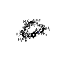 CNC(C)(C)CC(C)(C)NC(=O)BC(=O)NC(C)(C)CC(C)(C)NC(=O)Oc1ccc(/C=N/C(C)(C)CC(C)(C)OC(C)(C)C)cc1